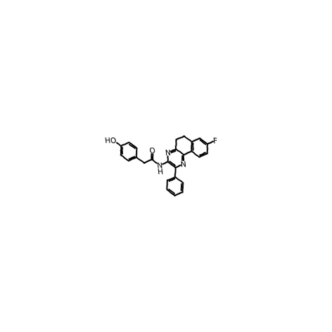 O=C(Cc1ccc(O)cc1)Nc1nc2c(nc1-c1ccccc1)-c1ccc(F)cc1CC2